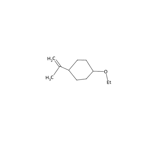 C=C(C)C1CCC(OCC)CC1